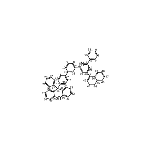 c1ccc(-c2nc(-c3cccc(-c4ccc(C5(c6ccccc6)c6ccccc6Oc6ccccc65)cc4)c3)cc(-c3cccc4ccccc34)n2)cc1